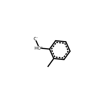 [CH2-][OH+]c1ccccc1C